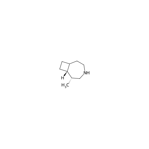 C[C@H]1CNCCC2CC[C@H]21